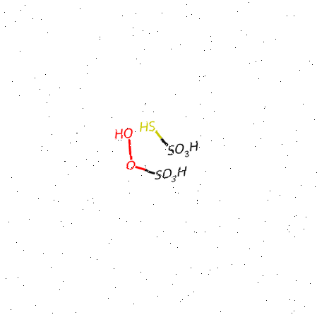 O=S(=O)(O)OO.O=S(=O)(O)S